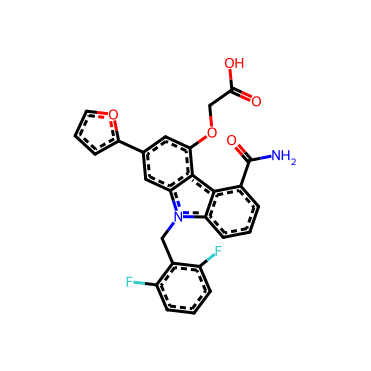 NC(=O)c1cccc2c1c1c(OCC(=O)O)cc(-c3ccco3)cc1n2Cc1c(F)cccc1F